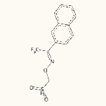 O=[SH](=O)CON=C(c1ccc2ccccc2c1)C(F)(F)F